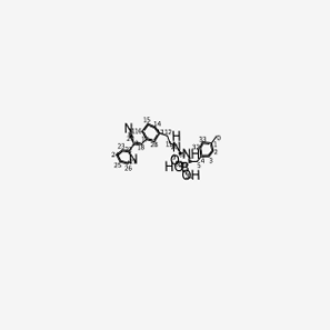 Cc1ccc(CC(NC(=O)NCCc2cccc(/C=C(\C#N)c3ccccn3)c2)B(O)O)cc1